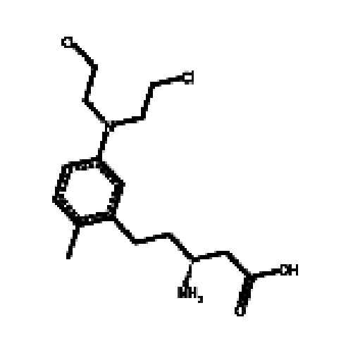 Cc1ccc(N(CCCl)CCCl)cc1CC[C@@H](N)CC(=O)O